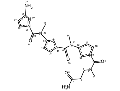 CN(CCC(N)=O)C(=O)n1ccc(N(C)C(=O)n2ccc(N(C)C(=O)n3ccc(N)n3)c2)c1